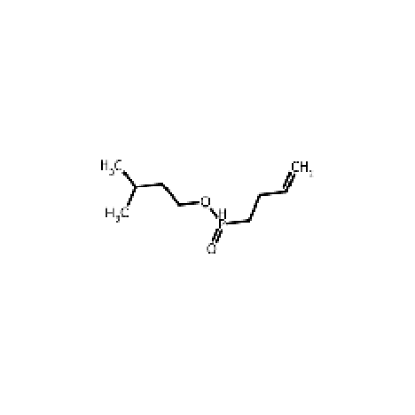 C=CCC[PH](=O)OCCC(C)C